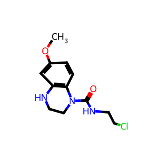 COc1ccc2c(c1)NCCN2C(=O)NCCCl